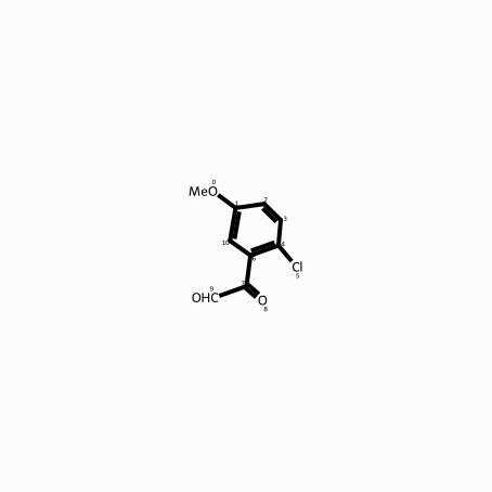 COc1ccc(Cl)c(C(=O)C=O)c1